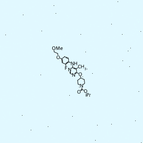 COCCOc1ccc(Nc2ncnc(OC3CCN(C(=O)OC(C)C)CC3)c2C)c(F)c1